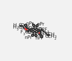 C=C(C)C(=O)OCCOCCN(C(=O)C(Cc1cccc2c1oc1ccccc12)N1C(=O)c2cc(Oc3ccc(CCC)cc3)c3c4c(Oc5ccc(CCC)cc5)cc5c6c(cc(Oc7ccc(CCC)cc7)c(c7c(Oc8ccc(CCC)cc8)cc(c2c37)C1=O)c64)C(=O)N(C(Cc1cccc2c1oc1ccccc12)C(=O)N(CCOCCOC(=O)C(=C)C)C(F)(F)F)C5=O)C(F)(F)F